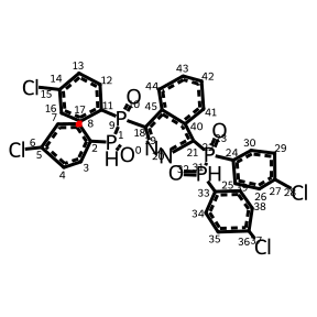 O=[PH](c1ccc(Cl)cc1)P(=O)(c1ccc(Cl)cc1)c1nnc(P(=O)(c2ccc(Cl)cc2)[PH](=O)c2ccc(Cl)cc2)c2ccccc12